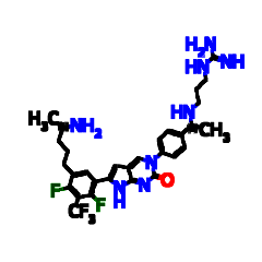 C[C@H](N)CCCc1cc(-c2cc3cn(-c4ccc([C@H](C)NCCCNC(=N)N)cc4)c(=O)nc3[nH]2)c(F)c(C(F)(F)F)c1F